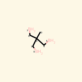 BCC(C)(CB)CB